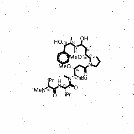 CC[C@H](C)[C@@H]([C@@H](CC(=O)N1CCC[C@H]1[C@H](OC)[C@@H](C)C(O)N[C@H](C)[C@@H](O)c1ccccc1)OC)N(C)C(=O)[C@@H](NC(=O)[C@@H](NC)C(C)C)C(C)C